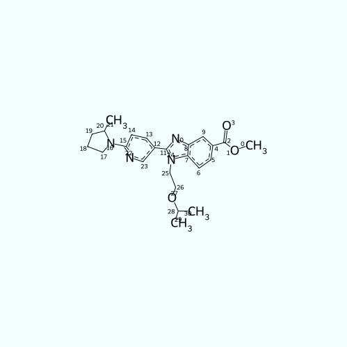 COC(=O)c1ccc2c(c1)nc(-c1ccc(N3CCCC3C)nc1)n2CCOC(C)C